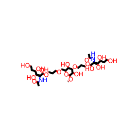 COC1OC(COCCCOC(O)/C(NC(C)=O)=C(/O)C(O)CCO)C(O)C(OCCCOC(O)/C(NC(C)=O)=C(\O)C(O)CCO)C1O